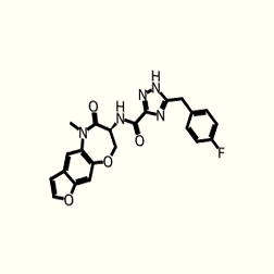 CN1C(=O)[C@@H](NC(=O)c2n[nH]c(Cc3ccc(F)cc3)n2)COc2cc3occc3cc21